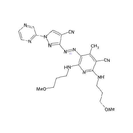 COCCCNc1nc(NCCCOC)c(/N=N/c2nn(-c3cnccn3)cc2C#N)c(C)c1C#N